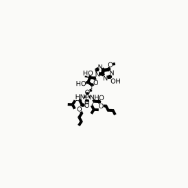 CCCCOC(=O)[C@H](CC(C)C)NP(=O)(N[C@@H](CC(C)C)C(=O)OCCCC)OC[C@H]1O[C@@H](n2cnc3c(OC)nc(O)nc32)[C@@](C)(O)C1O